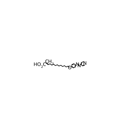 CC(=CCCCCCCCCCCCOc1ccc(N=Nc2ccncc2)cc1)C(=O)O